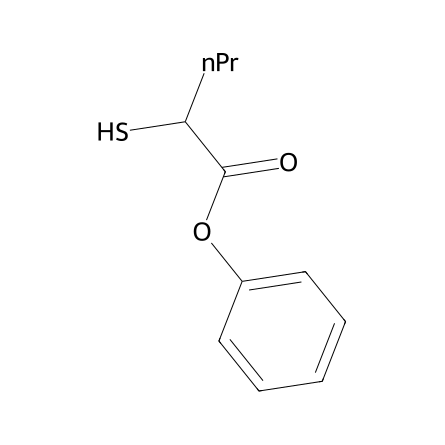 CCCC(S)C(=O)Oc1ccccc1